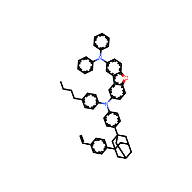 C=Cc1ccc(C23CC4CC(C2)CC(c2ccc(N(c5ccc(CCCC)cc5)c5ccc6oc7ccc(N(c8ccccc8)c8ccccc8)cc7c6c5)cc2)(C4)C3)cc1